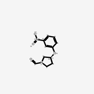 O=CN1CC[C@H](Oc2cccc([N+](=O)[O-])c2)C1